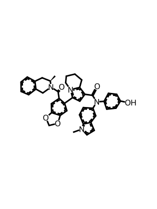 C[C@@H]1Cc2ccccc2CN1C(=O)c1cc2c(cc1-c1cc(C(=O)N(c3ccc(O)cc3)c3ccc4c(ccn4C)c3)c3n1CCCC3)OCO2